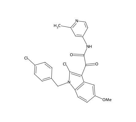 COc1ccc2c(c1)c(C(=O)C(=O)Nc1ccnc(C)c1)c(Cl)n2Cc1ccc(Cl)cc1